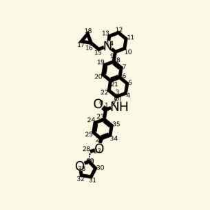 O=C(N[C@H]1CCc2cc(C3CCCCN3CC3CC3)ccc2C1)c1ccc(OC[C@@H]2CCCO2)cc1